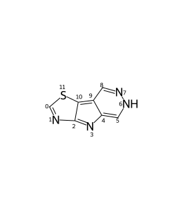 c1nc2nc3c[nH]ncc-3c2s1